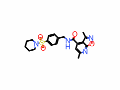 Cc1cc(C(=O)NCc2ccc(S(=O)(=O)N3CCCCC3)cc2)c2c(C)noc2n1